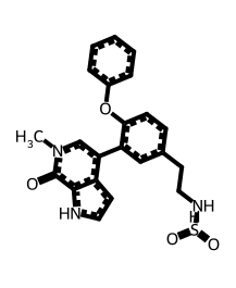 Cn1cc(-c2cc(CCN[SH](=O)=O)ccc2Oc2ccccc2)c2cc[nH]c2c1=O